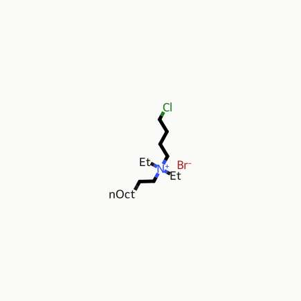 CCCCCCCCCC[N+](CC)(CC)CCCCCl.[Br-]